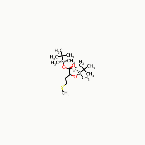 CSCCC(O[Si](C)(C)C(C)(C)C)C(=O)O[Si](C)(C)C(C)(C)C